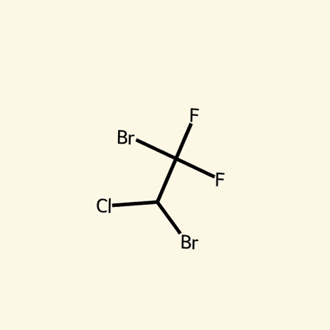 FC(F)(Br)C(Cl)Br